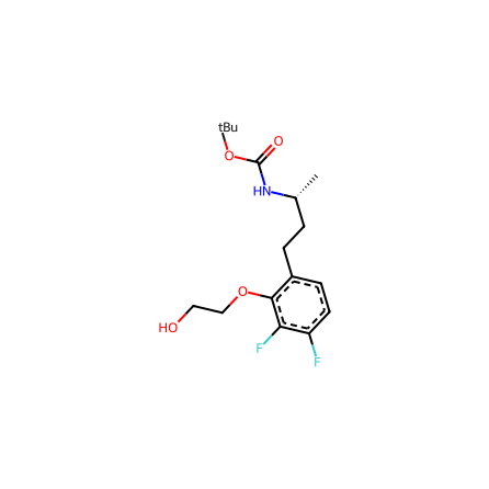 C[C@H](CCc1ccc(F)c(F)c1OCCO)NC(=O)OC(C)(C)C